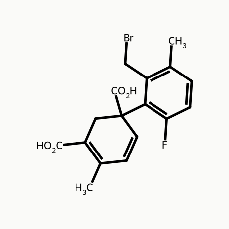 CC1=C(C(=O)O)CC(C(=O)O)(c2c(F)ccc(C)c2CBr)C=C1